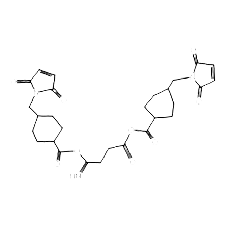 N=C(CCC(=O)OC(=O)C1CCC(CN2C(=O)C=CC2=O)CC1)OC(=O)C1CCC(CN2C(=O)C=CC2=O)CC1